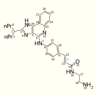 CCCC(CCC)c1nc2c(Nc3ccc(/C=C/C(=O)NCCN)cc3)nc3ccccc3c2[nH]1